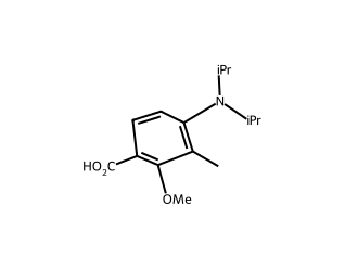 COc1c(C(=O)O)ccc(N(C(C)C)C(C)C)c1C